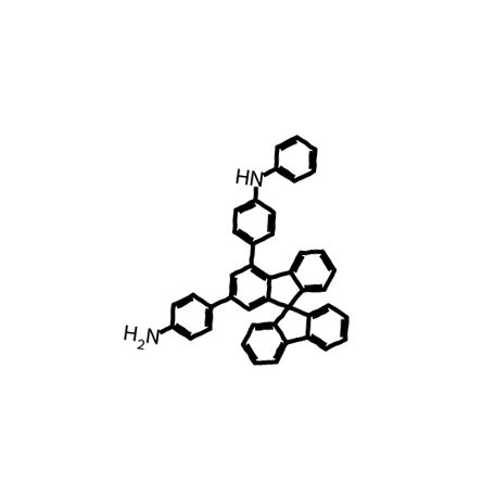 Nc1ccc(-c2cc(-c3ccc(Nc4ccccc4)cc3)c3c(c2)C2(c4ccccc4-c4ccccc42)c2ccccc2-3)cc1